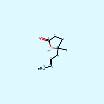 CCCCC=CCC1(C)CCC(=O)O1